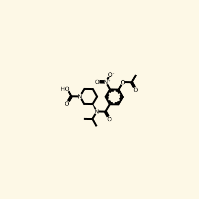 CC(=O)Oc1ccc(C(=O)N(C(C)C)[C@@H]2CCCN(C(=O)O)C2)cc1[N+](=O)[O-]